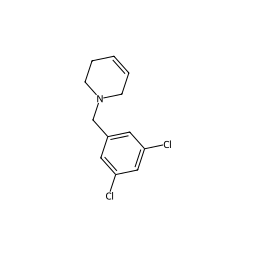 Clc1cc(Cl)cc(CN2CC=CCC2)c1